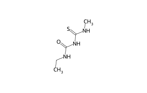 CCNC(=O)NC(=S)NC